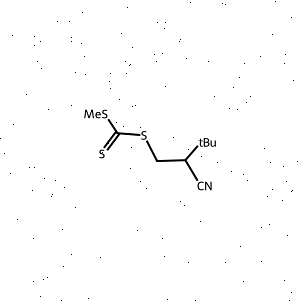 CSC(=S)SCC(C#N)C(C)(C)C